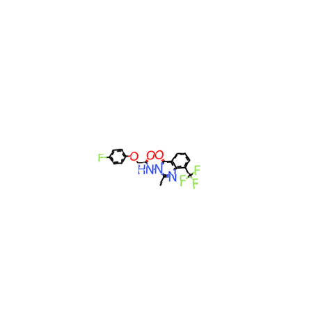 Cc1nc2c(C(F)(F)F)cccc2c(=O)n1NC(=O)COc1ccc(F)cc1